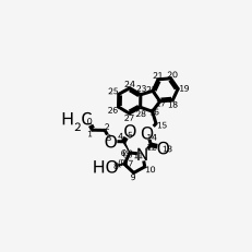 C=CCOC(=O)[C@@H]1[C@H](O)CCN1C(=O)OCC1c2ccccc2-c2ccccc21